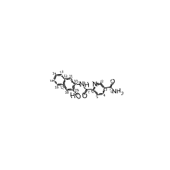 NC(=O)c1ccc(C(=O)Nc2cc3ccccc3cc2O)nc1